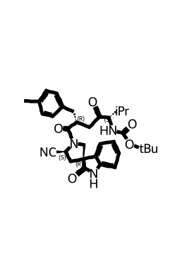 Cc1ccc(C[C@H](CC(=O)[C@@H](NC(=O)OC(C)(C)C)C(C)C)C(=O)N2C[C@]3(C[C@H]2C#N)C(=O)Nc2ccccc23)cc1